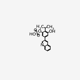 CC(C)c1c(O)cc(-c2cnc3ccccc3c2)cc1OS(=O)(=O)O